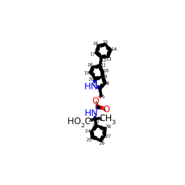 CC(NC(=O)OCc1cc2cc(-c3ccccc3)ccc2[nH]1)(C(=O)O)c1ccccc1